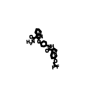 NC(=O)c1c(O[C@H]2CC[C@H](NC(=O)c3ccn4cc(OCC(F)F)ccc34)CC2)nn2ccccc12